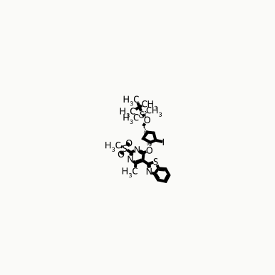 Cc1nc(S(C)(=O)=O)nc(O[C@@H]2C[C@H](CO[Si](C)(C)C(C)(C)C)CC2I)c1-c1nc2ccccc2s1